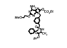 CCOC(=O)Oc1nc2c(N)nc(OCCOC)nc2n1Cc1cccc(CP(=O)(Cc2ccccc2)NC(C)C(=O)OC(C)C)c1